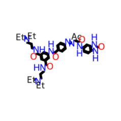 CCN(CC)CCCNC(=O)c1cc(NC(=O)c2ccc(N=NC(C(C)=O)C(=O)Nc3ccc4[nH]c(=O)[nH]c4c3)cc2)cc(C(=O)NCCCN(CC)CC)c1